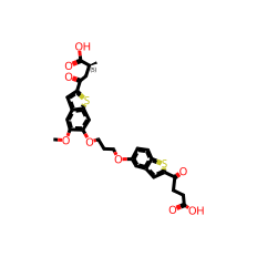 COc1cc2cc(C(=O)C[C@H](C)C(=O)O)sc2cc1OCCCOc1ccc2sc(C(=O)CCC(=O)O)cc2c1